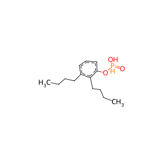 CCCCc1cccc(O[PH](=O)O)c1CCCC